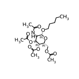 CCCCCO[C@@H]1O[C@H](COC(C)=O)[C@H](OC(C)=O)[C@H](OC(C)=O)[C@@H]1NC(C)=O